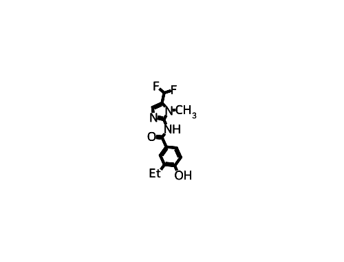 CCc1cc(C(=O)Nc2ncc(C(F)F)n2C)ccc1O